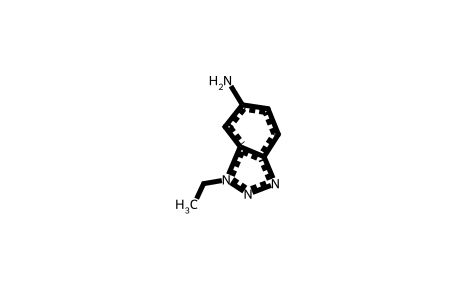 CCn1nnc2ccc(N)cc21